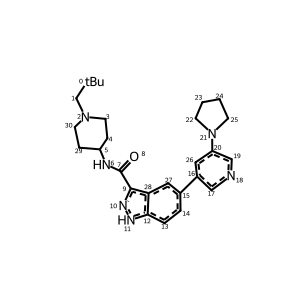 CC(C)(C)CN1CCC(NC(=O)c2n[nH]c3ccc(-c4cncc(N5CCCC5)c4)cc23)CC1